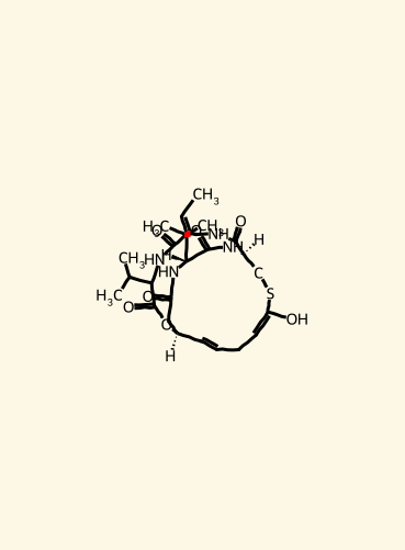 C/C=C1\NC(=O)[C@H]2CS/C(O)=C\C/C=C/[C@H](CC(=O)N[C@H](C(C)C)C(=O)N2)OC(=O)C(C(C)C)NC1=O